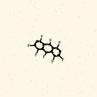 Fc1[c]c(F)c2c(F)c3c(F)[c]c(F)c(F)c3c(F)c2c1F